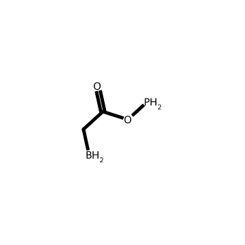 BCC(=O)OP